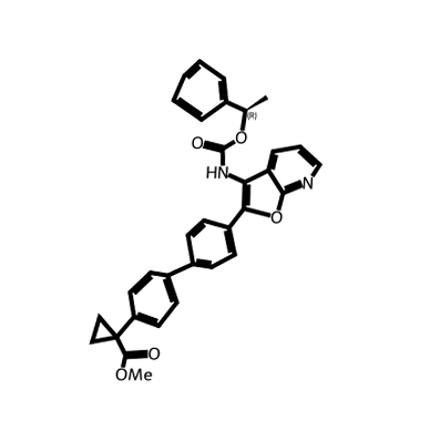 COC(=O)C1(c2ccc(-c3ccc(-c4oc5ncccc5c4NC(=O)O[C@H](C)c4ccccc4)cc3)cc2)CC1